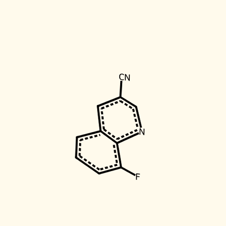 N#Cc1cnc2c(F)cccc2c1